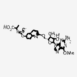 COc1nc(N)nc2c1ncn2C1O[C@H](COc2ccc3cc(O/[P+]([O-])=N/C(C)C(=O)O)ccc3n2)[C@@H](O)[C@@]1(C)O